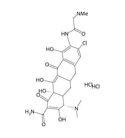 CNCC(=O)Nc1c(Cl)cc2c(c1O)C(=O)C1=C(O)[C@]3(O)C(=O)C(C(N)=O)=C(O)[C@@H](N(C)C)C3CC1C2.Cl.Cl